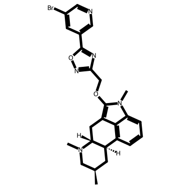 C[C@@H]1C[C@@H]2c3cccc4c3c(c(OCc3noc(-c5cncc(Br)c5)n3)n4C)C[C@H]2N(C)C1